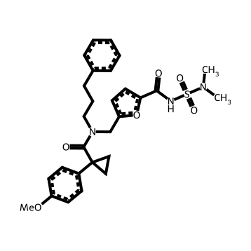 COc1ccc(C2(C(=O)N(CCCc3ccccc3)Cc3ccc(C(=O)NS(=O)(=O)N(C)C)o3)CC2)cc1